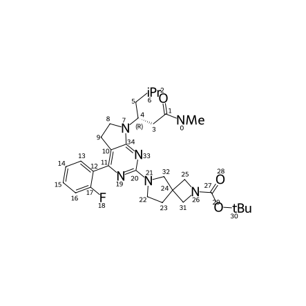 CNC(=O)C[C@@H](CC(C)C)N1CCc2c(-c3ccccc3F)nc(N3CCC4(CN(C(=O)OC(C)(C)C)C4)C3)nc21